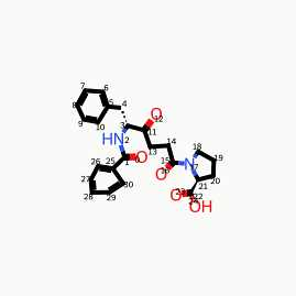 O=C(N[C@H](Cc1ccccc1)C(=O)CCC(=O)N1CCC[C@H]1C(=O)O)c1ccccc1